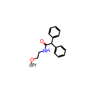 CCCOCCNC(=O)C(c1ccccc1)c1ccccc1